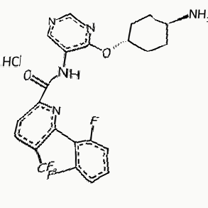 Cl.N[C@H]1CC[C@H](Oc2ncncc2NC(=O)c2ccc(C(F)(F)F)c(-c3c(F)cccc3F)n2)CC1